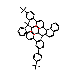 CC(C)(C)c1ccc(-c2ccc(-c3c(N(c4ccc5c(c4)-c4ccccc4C5(C)C)c4ccc(-c5ccc(C(C)(C)C)cc5)cc4-c4ccccc4)ccc4ccccc34)cc2)cc1